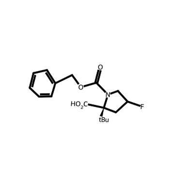 CC(C)(C)[C@]1(C(=O)O)CC(F)CN1C(=O)OCc1ccccc1